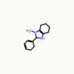 CN1C2=C(CCCC2)NC1C1=CC=CCC1